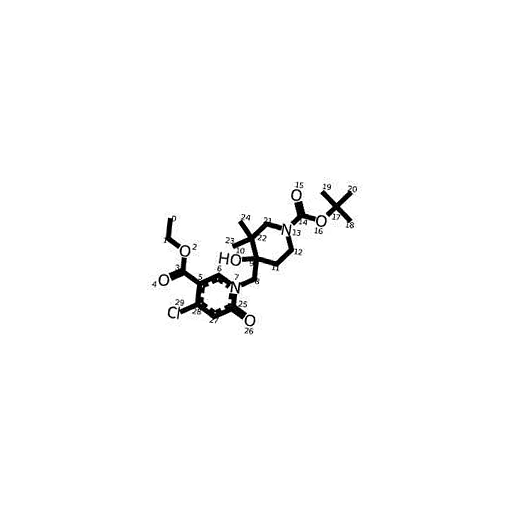 CCOC(=O)c1cn(CC2(O)CCN(C(=O)OC(C)(C)C)CC2(C)C)c(=O)cc1Cl